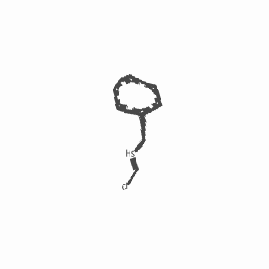 ClC=[SH]Cc1ccccc1